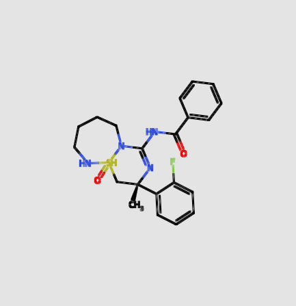 C[C@@]1(c2ccccc2F)C[SH]2(=O)NCCCCN2C(NC(=O)c2ccccc2)=N1